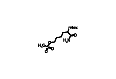 CCCCCCC(CCCCOS(C)(=O)=O)C(N)=O